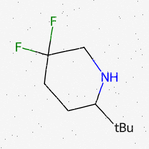 CC(C)(C)C1CCC(F)(F)CN1